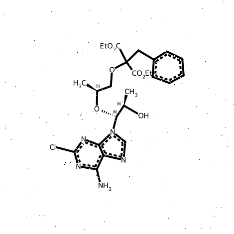 CCOC(=O)C(Cc1ccccc1)(OC[C@H](C)O[C@H]([C@@H](C)O)n1cnc2c(N)nc(Cl)nc21)C(=O)OCC